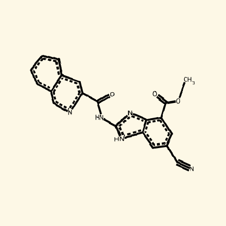 COC(=O)c1cc(C#N)cc2[nH]c(NC(=O)c3cc4ccccc4cn3)nc12